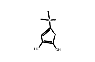 C[Si](C)(C)c1cc(O)c(O)s1